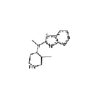 CC1CNCCC1N(C)c1nc2ccccc2s1